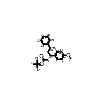 COc1ccc([C@H](CC(=O)OC(C)(C)C)C[C@H](C)c2ccccc2)cn1